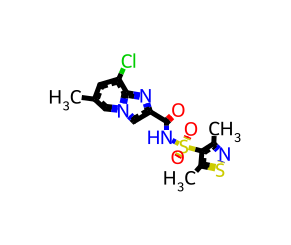 Cc1cc(Cl)c2nc(C(=O)NS(=O)(=O)c3c(C)nsc3C)cn2c1